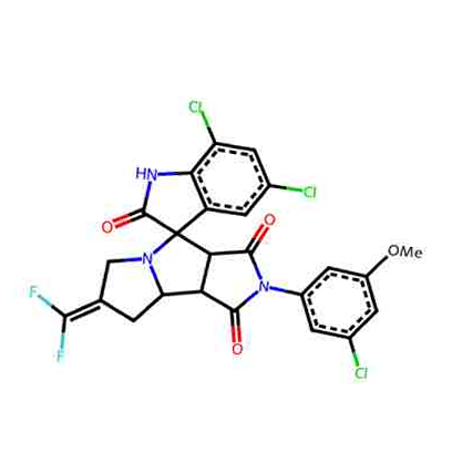 COc1cc(Cl)cc(N2C(=O)C3C4CC(=C(F)F)CN4C4(C(=O)Nc5c(Cl)cc(Cl)cc54)C3C2=O)c1